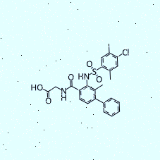 Cc1cc(S(=O)(=O)Nc2c(C(=O)NCC(=O)O)ccc(-c3ccccc3)c2C)c(C)cc1Cl